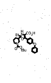 CCC1(C2CCCN(C(=O)OC(C)(C)C)C2)NC(C(=O)O)=C(c2ccc(Oc3ccccc3)cc2)O1